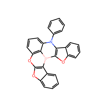 c1ccc(N2c3cccc4c3B(c3oc5ccccc5c32)c2c(oc3ccccc23)O4)cc1